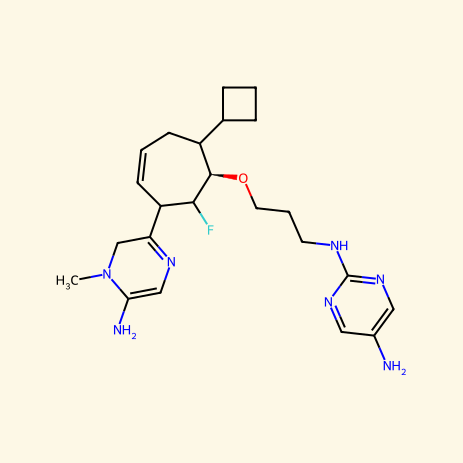 CN1CC(C2C=CCC(C3CCC3)[C@@H](OCCCNc3ncc(N)cn3)C2F)=NC=C1N